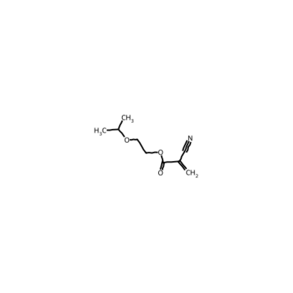 C=C(C#N)C(=O)OCCOC(C)C